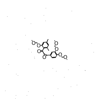 COCOc1ccc(C2OC2C(=O)c2c(C)cc(C)cc2OCOC)cc1OCOC